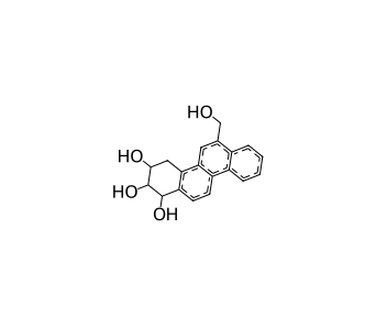 OCc1cc2c3c(ccc2c2ccccc12)C(O)C(O)C(O)C3